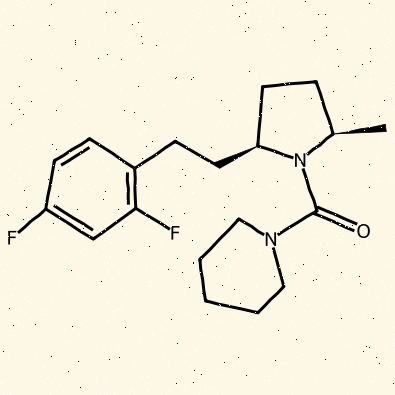 C[C@@H]1CC[C@H](CCc2ccc(F)cc2F)N1C(=O)N1CCCCC1